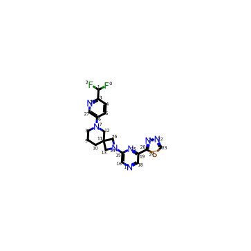 FC(F)c1ccc(N2CCCC3(C2)CN(c2cncc(-c4nncs4)n2)C3)cn1